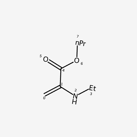 C=C(NCC)C(=O)OCCC